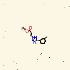 Cc1cccc(-c2ncn(C=CC(=O)OC(C)C)n2)c1